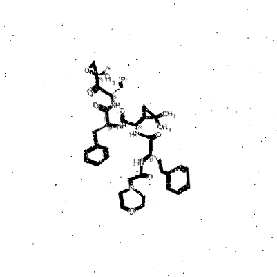 CC(C)C[C@H](NC(=O)[C@H](Cc1ccccc1)NC(=O)[C@@H](NC(=O)[C@H](CCc1ccccc1)NC(=O)CN1CCOCC1)C1CC1(C)C)C(=O)[C@@]1(C)CO1